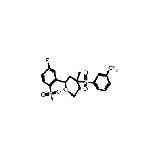 CC1(S(=O)(=O)c2cccc(C(F)(F)F)c2)CCOC(c2cc(F)ccc2S(C)(=O)=O)C1